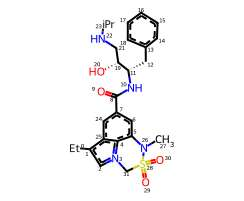 CCc1cn2c3c(cc(C(=O)N[C@@H](Cc4ccccc4)[C@H](O)CNC(C)C)cc13)N(C)S(=O)(=O)C2